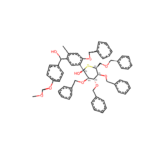 COCOc1ccc(C(O)c2cc([C@]3(O)S[C@@H](COCc4ccccc4)[C@@H](OCc4ccccc4)[C@H](OCc4ccccc4)[C@H]3OCc3ccccc3)c(OCc3ccccc3)cc2C)cc1